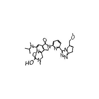 COCC1CCc2nnc(-c3cccc(N4Cc5c(cc(N(C)C(C)C)nc5CN(C)C(=O)O)C4=O)n3)n21